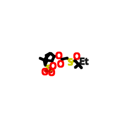 CCC(C)(C)C(=O)SCC(=O)OC1C2CC3C1OS(=O)(=O)C3C2C